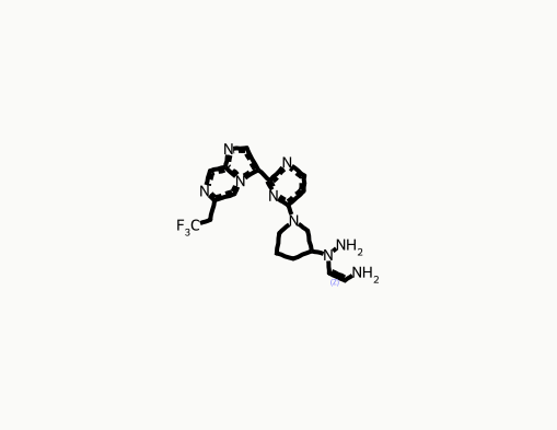 N/C=C\N(N)C1CCCN(c2ccnc(-c3cnc4cnc(CC(F)(F)F)cn34)n2)C1